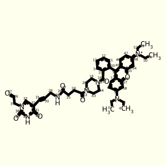 CCN(CC)c1ccc2c(-c3ccccc3C(=O)N3CCN(C(=O)CCC(=O)NCC#Cc4cn(CC=O)c(=O)[nH]c4=O)CC3)c3ccc(=[N+](CC)CC)cc-3oc2c1